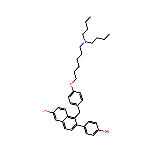 CCCCN(CCCC)CCCCCCOc1ccc(Cc2c(-c3ccc(O)cc3)ccc3cc(O)ccc23)cc1